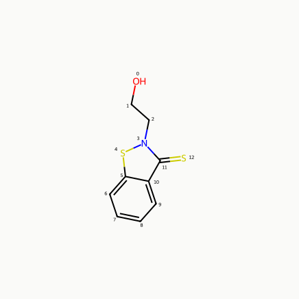 OCCn1sc2ccccc2c1=S